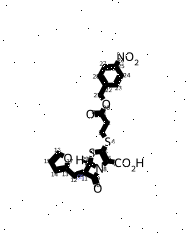 O=C(CCSC1=C(C(=O)O)N2C(=O)/C(=C/c3ccco3)[C@@H]2S1)OCc1ccc([N+](=O)[O-])cc1